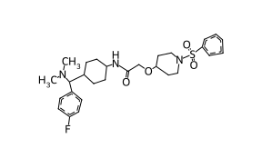 CN(C)C(c1ccc(F)cc1)C1CCC(NC(=O)COC2CCN(S(=O)(=O)c3ccccc3)CC2)CC1